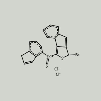 [Cl-].[Cl-].[S]=[Zr+2]([C]1=C2C(=Cc3ccccc32)C(Br)S1)[c]1cccc2c1C=CC2